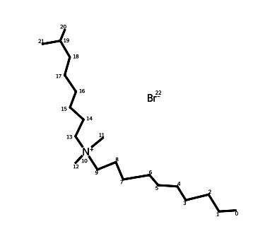 CCCCCCCCCC[N+](C)(C)CCCCCCC(C)C.[Br-]